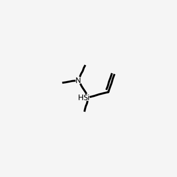 C=C[SiH](C)N(C)C